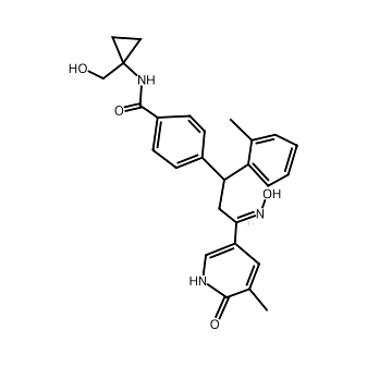 Cc1ccccc1C(C/C(=N\O)c1c[nH]c(=O)c(C)c1)c1ccc(C(=O)NC2(CO)CC2)cc1